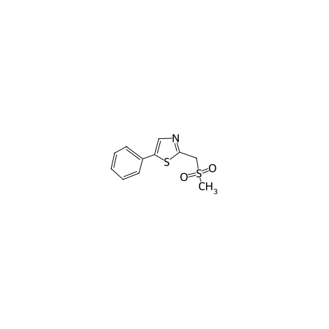 CS(=O)(=O)Cc1ncc(-c2ccccc2)s1